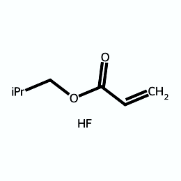 C=CC(=O)OCC(C)C.F